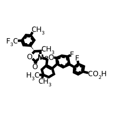 COc1cc(F)c(-c2ccc(C(=O)O)cc2F)cc1C1=C(CN2C(=O)O[C@H](c3cc(C)cc(C(F)(F)F)c3)[C@@H]2C)CC(C)(C)CC1